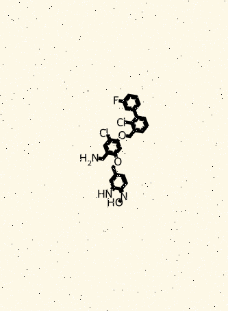 N=C1C=C(COc2cc(OCc3cccc(-c4cccc(F)c4)c3Cl)c(Cl)cc2CN)C=C/C1=N/O